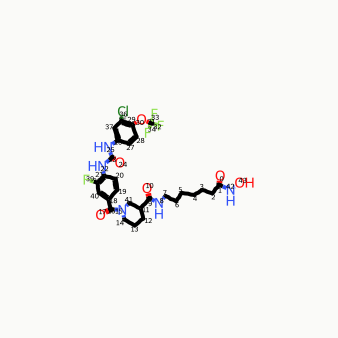 O=C(CCCCCCNC(=O)C1CCCN(C(=O)c2ccc(NC(=O)Nc3ccc(OC(F)(F)F)c(Cl)c3)c(F)c2)C1)NO